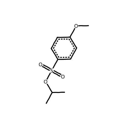 COc1ccc(S(=O)(=O)OC(C)C)cc1